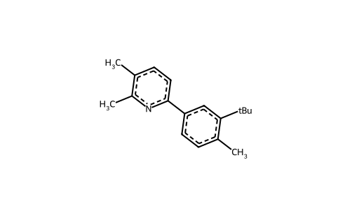 Cc1ccc(-c2ccc(C)c(C)n2)cc1C(C)(C)C